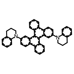 c1ccc2c(c1)CCCN2c1ccc2c3ccccc3c3c4cc(N5CCCc6ccccc65)ccc4c4ccccc4c3c2c1